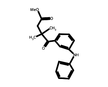 COC(=O)CC(C)(C)C(=O)c1cccc(Nc2ccccc2)c1